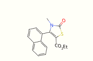 CCOC(=O)c1sc(=O)n(C)c1-c1cccc2ccccc12